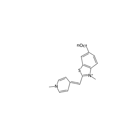 CCCCCCCCc1ccc2c(c1)sc(C=C1C=CN(C)C=C1)[n+]2C